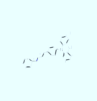 Cc1ccc(N(c2ccc(/C=C/C=C/c3ccccc3)cc2)c2ccccc2C)cc1